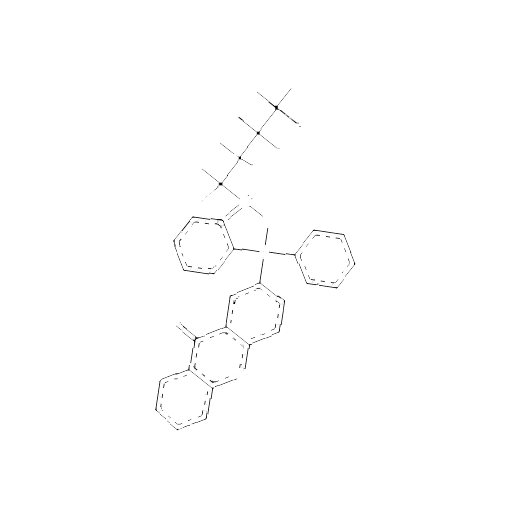 O=c1c2ccccc2oc2ccc(S(OS(=O)(=O)C(F)(F)C(F)(F)C(F)(F)C(F)(F)F)(c3ccccc3)c3ccccc3)cc12